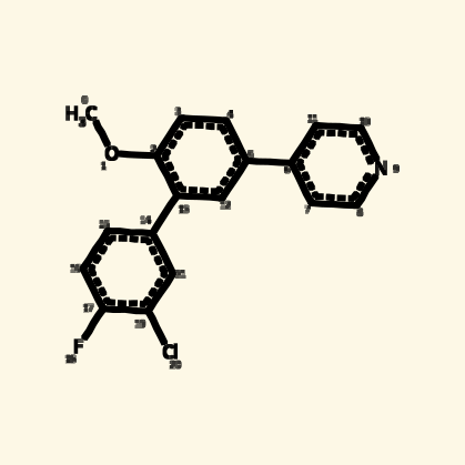 COc1ccc(-c2ccncc2)cc1-c1ccc(F)c(Cl)c1